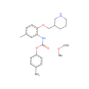 CC(C)(C)OC=O.Cc1ccc(OCC2CCCNC2)c(NC(=O)Oc2ccc([N+](=O)[O-])cc2)c1